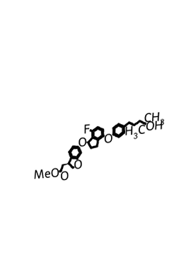 COC(=O)C[C@@H]1COc2cc(O[C@@H]3CCc4c(Oc5ccc(CCCC(C)(C)O)cc5)ccc(F)c43)ccc21